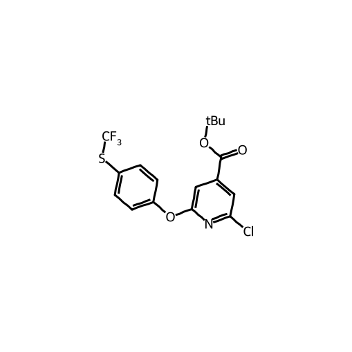 CC(C)(C)OC(=O)c1cc(Cl)nc(Oc2ccc(SC(F)(F)F)cc2)c1